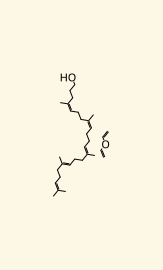 C=COC=C.CC(C)=CCCC(C)=CCCC(C)=CCCC=C(C)CCC=C(C)CCCO